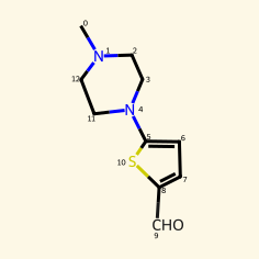 CN1CCN(c2ccc(C=O)s2)CC1